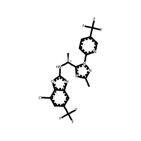 Cc1nc([C@H](C)Nc2nc3cc(C(F)(F)F)cc(Cl)c3o2)n(-c2ccc(C(F)(F)F)cn2)n1